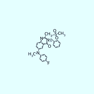 Cc1nc2ccc(N(C)c3ccc(F)cc3)cc2c(=O)n1[C@H](CS(C)(=O)=O)c1ccccc1